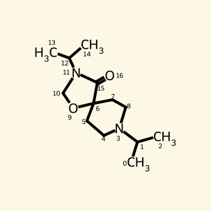 CC(C)N1CCC2(CC1)OCN(C(C)C)C2=O